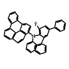 Fc1cc(-c2ccccc2)cc(-c2ccccc2)c1N(c1ccccc1)c1ccc2c3ccccc3c3cccc4ccc1c2c43